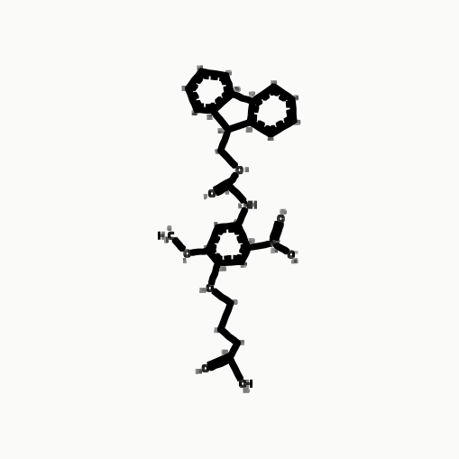 COc1cc(NC(=O)OCC2c3ccccc3-c3ccccc32)c([N+](=O)[O-])cc1OCCCC(=O)O